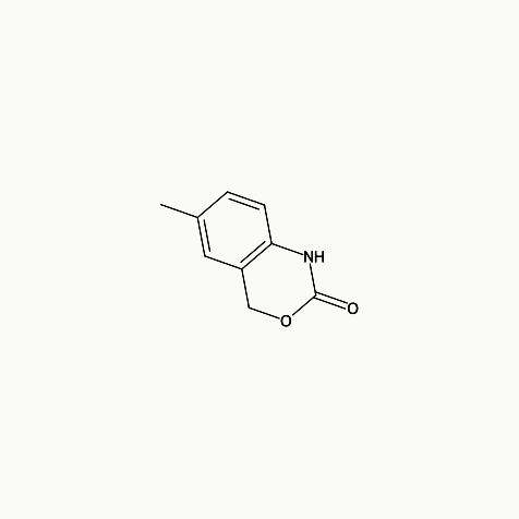 Cc1ccc2c(c1)COC(=O)N2